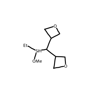 CC[SiH](OC)C(C1COC1)C1COC1